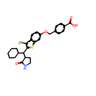 O=C(O)c1ccc(COc2ccc3c(Cl)c(C(C4CCCCC4)C4CCNC4=O)sc3c2)cc1